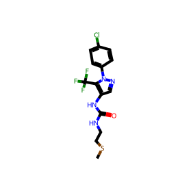 CSCCNC(=O)Nc1cnn(-c2ccc(Cl)cc2)c1C(F)(F)F